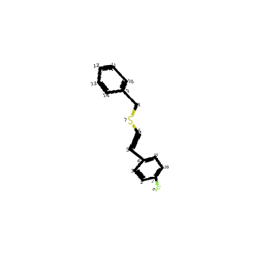 Fc1ccc(C=CSCc2ccccc2)cc1